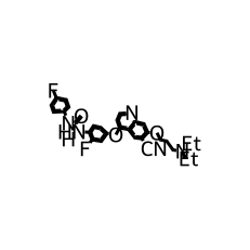 CCN(CC)CCCOc1cc2nccc(Oc3ccc(NC(=O)Nc4ccc(F)cc4)c(F)c3)c2cc1C#N